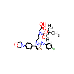 CC(C)(C)OC(=O)N(CCCn1c(-c2ccc(N3CCOCC3)cc2)csc1=Nc1ccc(F)cc1)CC(=O)O